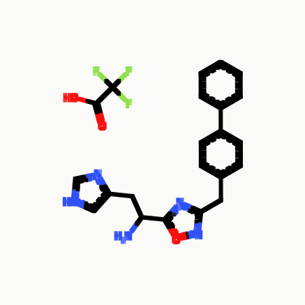 NC(Cc1c[nH]cn1)c1nc(Cc2ccc(-c3ccccc3)cc2)no1.O=C(O)C(F)(F)F